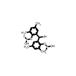 CCCC(c1cc(C)cc(C)c1OP(O)F)c1cc(C)cc(C)c1OP(O)F